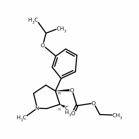 CCOC(=O)O[C@]1(c2cccc(OC(C)C)c2)CCN(C)C[C@@H]1C